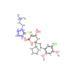 COc1cc(OC)c(CCC2(C3CCCC3)CC(O)=C(Sc3nnnn3CCN(C)C)C(=O)O2)cc1Cl